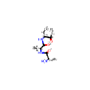 CC[C@H](C)C(N)C(=O)NC(C(=O)N[C@@H](CC(=O)O)C(=O)C(C)=O)[C@@H](C)CC